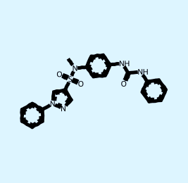 CN(c1ccc(NC(=O)Nc2ccccc2)cc1)S(=O)(=O)c1cnn(-c2ccccc2)c1